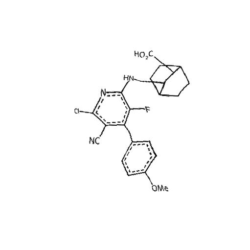 COc1ccc(-c2c(F)c(NC3C4CCC(CC4)C3C(=O)O)nc(Cl)c2C#N)cc1